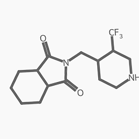 O=C1C2CCCCC2C(=O)N1CC1CCNCC1C(F)(F)F